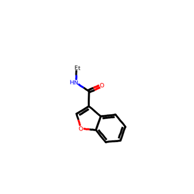 CCNC(=O)c1coc2ccccc12